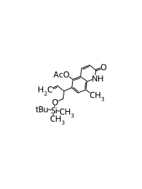 C=CC(CO[Si](C)(C)C(C)(C)C)c1cc(C)c2[nH]c(=O)ccc2c1OC(C)=O